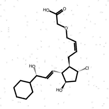 O=C(O)COC/C=C\C[C@@H]1[C@@H](/C=C/[C@@H](O)C2CCCCC2)[C@H](O)C[C@H]1Cl